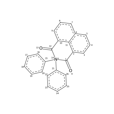 O=C1c2cccc3cccc(c23)C(=O)[N+]1(c1ccccc1)c1ccccc1